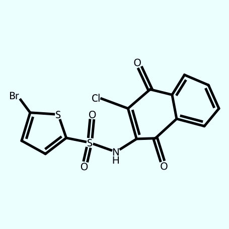 O=C1C(Cl)=C(NS(=O)(=O)c2ccc(Br)s2)C(=O)c2ccccc21